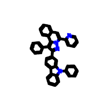 c1ccc(-c2c(-c3ccc4c5ccccc5n(-c5ccccc5)c4c3)nn3c(-c4ccccn4)cc4ccccc4c23)cc1